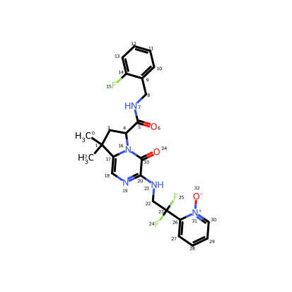 CC1(C)CC(C(=O)NCc2ccccc2F)n2c1cnc(NCC(F)(F)c1cccc[n+]1[O-])c2=O